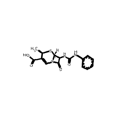 CC1S[C@@H]2C(NC(=O)Nc3ccccc3)C(=O)N2C=C1C(=O)O